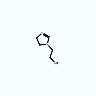 CCCCCCN1C=NCC1